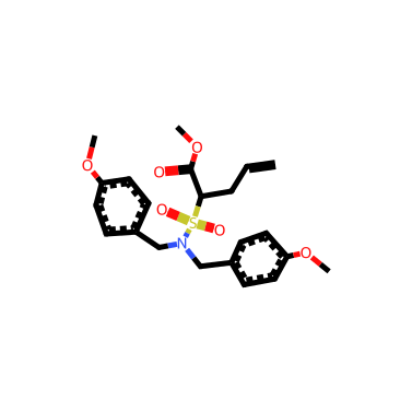 C=CCC(C(=O)OC)S(=O)(=O)N(Cc1ccc(OC)cc1)Cc1ccc(OC)cc1